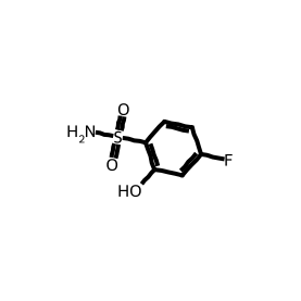 NS(=O)(=O)c1ccc(F)cc1O